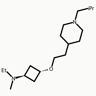 CCN(C)[C@H]1C[C@H](OCCC2CCN(CC(C)C)CC2)C1